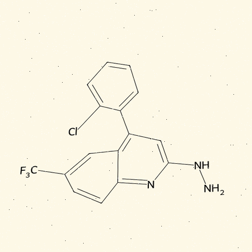 NNc1cc(-c2ccccc2Cl)c2cc(C(F)(F)F)ccc2n1